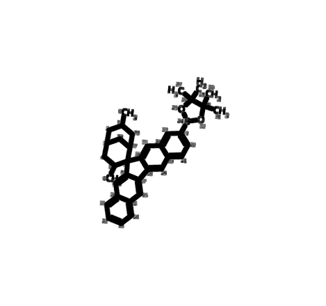 CC1CC2CC(C)C3(c4cc5ccccc5cc4-c4cc5ccc(B6OC(C)(C)C(C)(C)O6)cc5cc43)C(C1)C2